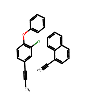 C#Cc1cccc2ccccc12.CC#Cc1ccc(Oc2ccccc2)c(Cl)c1